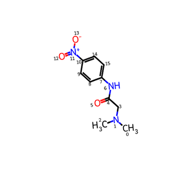 CN(C)CC(=O)Nc1ccc([N+](=O)[O-])cc1